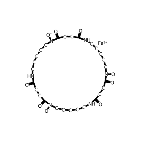 O=C1CCC(=O)N([O-])CCCCCNC(=O)CCC(=O)N([O-])CCCCCNC(=O)CCC(=O)N([O-])CCCCCN1.[Fe+3]